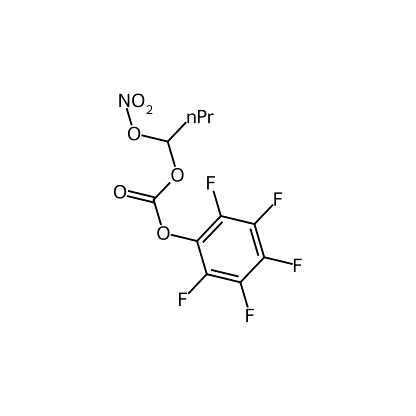 CCCC(OC(=O)Oc1c(F)c(F)c(F)c(F)c1F)O[N+](=O)[O-]